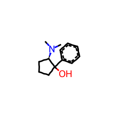 CN(C)[C@@H]1CCCC1(O)c1ccccc1